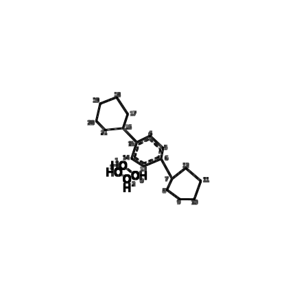 OO.OO.c1cc(C2CCCCC2)ccc1C1CCCCC1